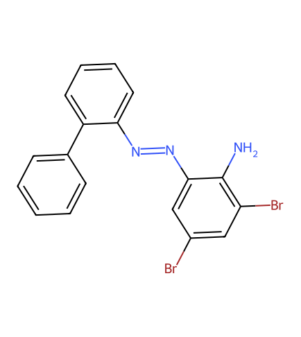 Nc1c(Br)cc(Br)cc1N=Nc1ccccc1-c1ccccc1